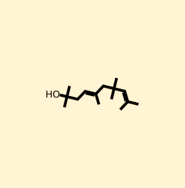 CC(C)=CC(C)(C)C/C(C)=C/CC(C)(C)O